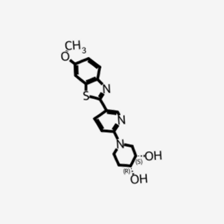 COc1ccc2nc(-c3ccc(N4CC[C@@H](O)[C@@H](O)C4)nc3)sc2c1